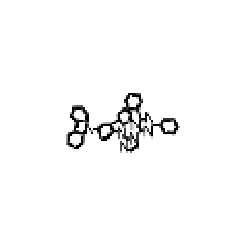 c1ccc(-c2nc(-c3ccccc3)nc(-n3ccnc3-n3c4ccccc4c4cc(-n5c6ccccc6c6ccccc65)ccc43)n2)cc1